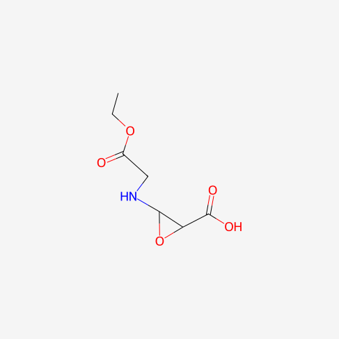 CCOC(=O)CNC1OC1C(=O)O